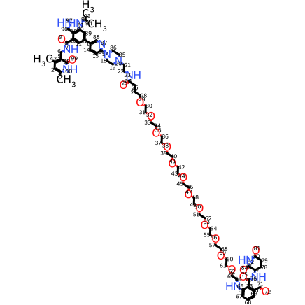 Cc1cc(C)c(CNC(=O)c2cc(-c3ccc(N4CCN(CCNC(=O)CCCOCCOCCOCCOCCOCCOCCOCCOCCOCCOCCOCCOCCNc5cccc(C=O)c5C(=O)NC5CCC(=O)NC5=O)CC4)nc3)cc(NC(C)C)c2C=N)c(=O)[nH]1